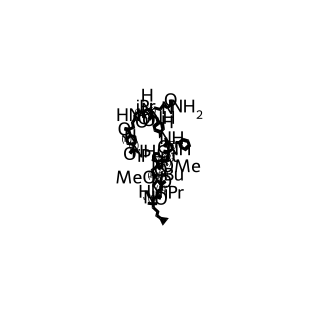 CCCC(C)NC(=O)[C@@H]1CCN(C(=O)CCC(=O)N[C@H](C(=O)N[C@@H](CCCNC(N)=O)C(=O)Nc2ccc(CNC(=O)[C@H](Cc3ccccc3)NC(=O)[C@H](C)[C@@H](OC)[C@@H]3CCCN3C(=O)C[C@@H](OC)[C@H]([C@@H](C)CC)N(C)C(=O)[C@@H](NC(=O)[C@@H](N(C)C)C(C)(C)CCCC3CC3)C(C)C)cc2)C(C)C)[C@H](C)C1